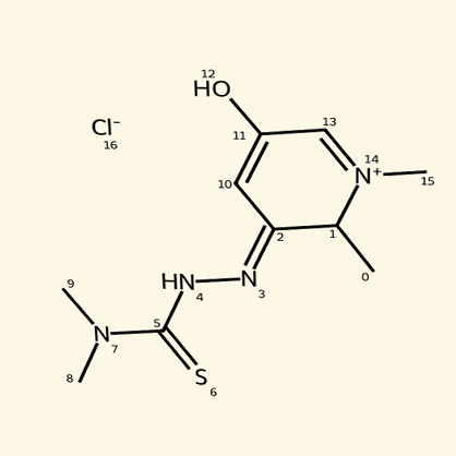 CC1C(=NNC(=S)N(C)C)C=C(O)C=[N+]1C.[Cl-]